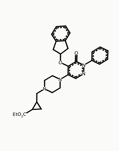 CCOC(=O)C1CC1CN1CCN(c2cnn(-c3ccccc3)c(=O)c2OC2Cc3ccccc3C2)CC1